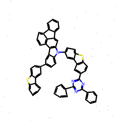 c1ccc(-c2nc(-c3ccccc3)nc(-c3ccc4sc5ccc(-n6c7ccc(-c8ccc9sc%10ccccc%10c9c8)cc7c7c8cccc9c8c(cc76)-c6ccccc6-9)cc5c4c3)n2)cc1